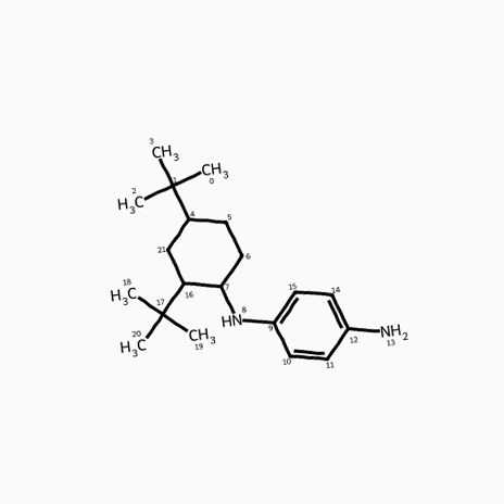 CC(C)(C)C1CCC(Nc2ccc(N)cc2)C(C(C)(C)C)C1